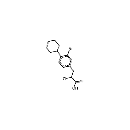 O=C(O)C(Cl)Cc1ccc(C2CCCCC2)c(Br)c1